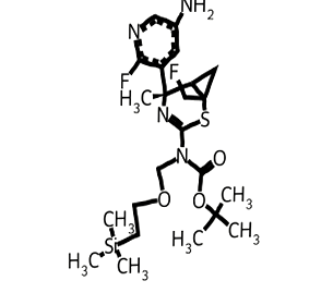 CC(C)(C)OC(=O)N(COCC[Si](C)(C)C)C1=N[C@](C)(c2cc(N)cnc2F)C2CC2(CF)S1